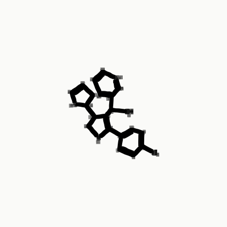 OC(C1=C(c2ccc(Cl)cc2)SCC1C1CC=CS1)c1cccnc1